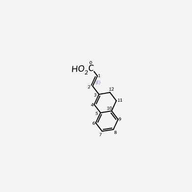 O=C(O)/C=C/C1=Cc2ccccc2CC1